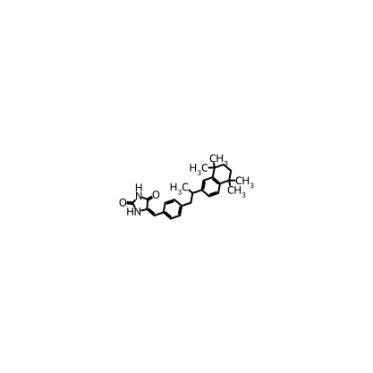 CC(Cc1ccc(C=C2NC(=O)NC2=O)cc1)c1ccc2c(c1)C(C)(C)CCC2(C)C